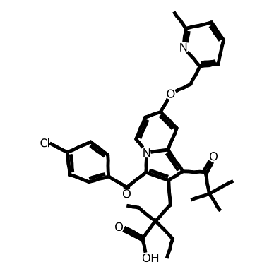 CCC(CC)(Cc1c(C(=O)C(C)(C)C)c2cc(OCc3cccc(C)n3)ccn2c1C(=O)c1ccc(Cl)cc1)C(=O)O